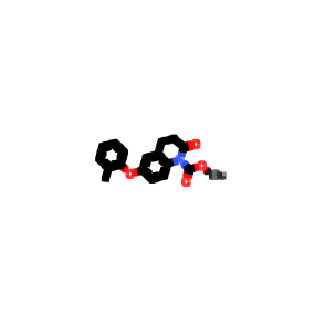 Cc1ccccc1Oc1ccc2c(c1)CCC(=O)N2C(=O)OC(C)(C)C